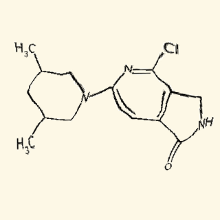 CC1CC(C)CN(c2cc3c(c(Cl)n2)CNC3=O)C1